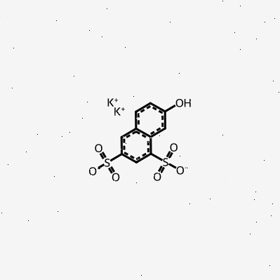 O=S(=O)([O-])c1cc(S(=O)(=O)[O-])c2cc(O)ccc2c1.[K+].[K+]